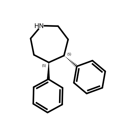 c1ccc([C@H]2CCNCC[C@@H]2c2ccccc2)cc1